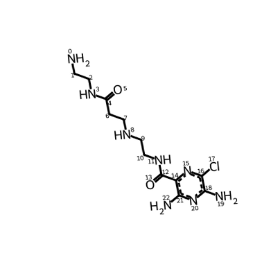 NCCNC(=O)CCNCCNC(=O)c1nc(Cl)c(N)nc1N